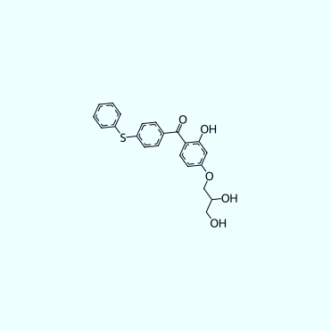 O=C(c1ccc(Sc2ccccc2)cc1)c1ccc(OCC(O)CO)cc1O